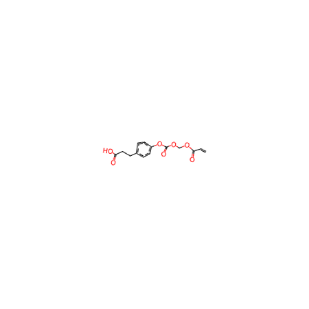 C=CC(=O)OCOC(=O)Oc1ccc(CCC(=O)O)cc1